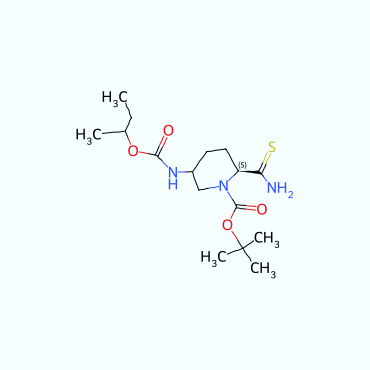 CCC(C)OC(=O)NC1CC[C@@H](C(N)=S)N(C(=O)OC(C)(C)C)C1